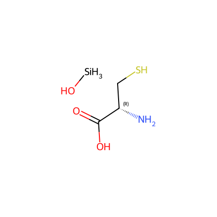 N[C@@H](CS)C(=O)O.O[SiH3]